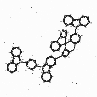 c1cnc2c(c1)C1(c3cc(-c4ccc5c(c4)c4ccccc4n5-c4ccc(-n5c6ccccc6c6ccccc65)nc4)ccc3Sc3ccc(-n4c5ccccc5c5ccccc54)cc31)c1cccnc1-2